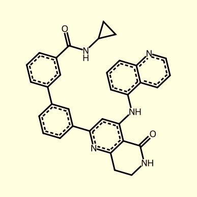 O=C(NC1CC1)c1cccc(-c2cccc(-c3cc(Nc4cccc5ncccc45)c4c(n3)CCNC4=O)c2)c1